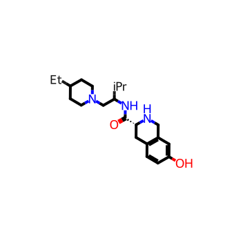 CCC1CCN(CC(NC(=O)[C@H]2Cc3ccc(O)cc3CN2)C(C)C)CC1